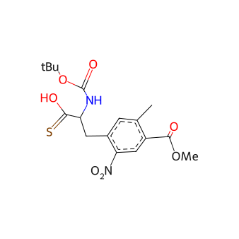 COC(=O)c1cc([N+](=O)[O-])c(CC(NC(=O)OC(C)(C)C)C(O)=S)cc1C